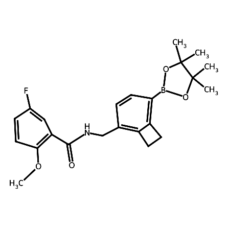 COc1ccc(F)cc1C(=O)NCc1ccc(B2OC(C)(C)C(C)(C)O2)c2c1CC2